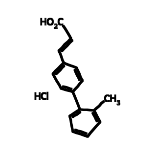 Cc1ccccc1-c1ccc(C=CC(=O)O)cc1.Cl